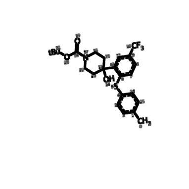 Cc1ccc(Sc2ccc(C(F)(F)F)cc2C2(O)CCN(C(=O)OC(C)(C)C)CC2)cc1